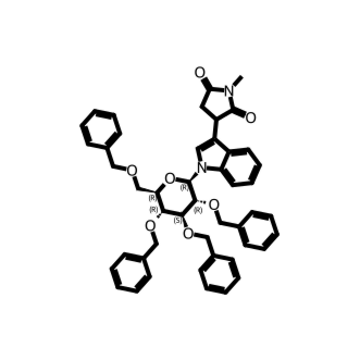 CN1C(=O)CC(c2cn([C@@H]3O[C@H](COCc4ccccc4)[C@@H](OCc4ccccc4)[C@H](OCc4ccccc4)[C@H]3OCc3ccccc3)c3ccccc23)C1=O